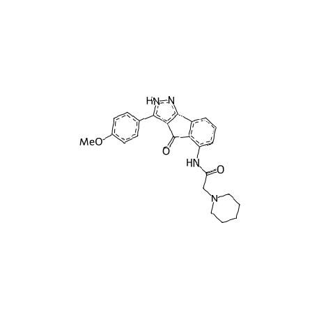 COc1ccc(-c2[nH]nc3c2C(=O)c2c(NC(=O)CN4CCCCC4)cccc2-3)cc1